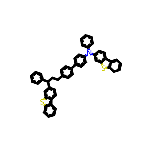 C1=CCC2Sc3cc(N(c4ccccc4)c4ccc(-c5ccc(CCC(c6ccccc6)c6ccc7c(c6)sc6ccccc67)cc5)cc4)ccc3C2=C1